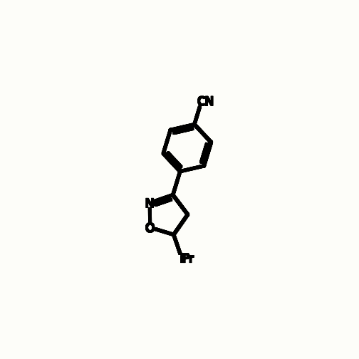 CC(C)C1CC(c2ccc(C#N)cc2)=NO1